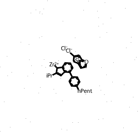 CC1=C2c3occc3C1[Si]2(C)C.CCCCCc1ccc(-c2cccc3c2C=C(C(C)C)[CH]3[Zr+2])cc1.[Cl-].[Cl-]